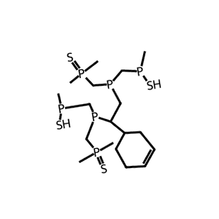 CP(S)CP(CC(C1CC=CCC1)P(CP(C)S)CP(C)(C)=S)CP(C)(C)=S